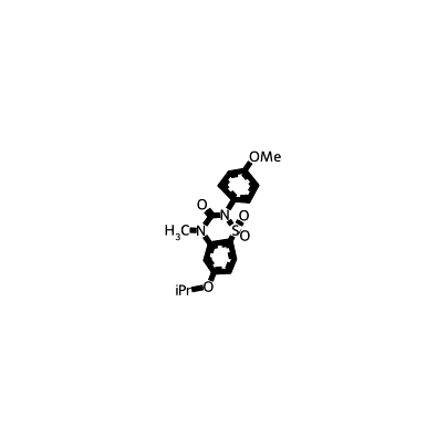 COc1ccc(N2C(=O)N(C)c3cc(OC(C)C)ccc3S2(=O)=O)cc1